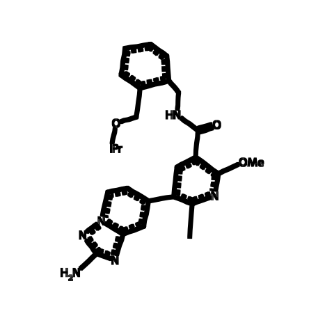 COc1nc(C)c(-c2ccn3nc(N)nc3c2)cc1C(=O)NCc1ccccc1COC(C)C